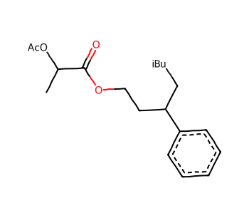 CCC(C)CC(CCOC(=O)C(C)OC(C)=O)c1ccccc1